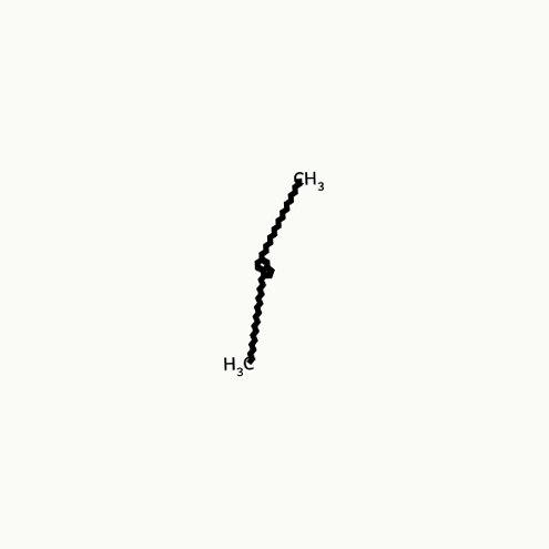 CCCCCCCCCCCCCCCCCCCC1=CC2=CC=C(CCCCCCCCCCCCCCCCCCC)C2=CC1